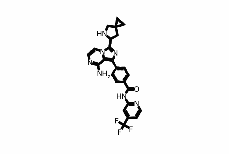 Nc1nccn2c(C3CC4(CC4)CN3)nc(-c3ccc(C(=O)Nc4cc(C(F)(F)F)ccn4)cc3)c12